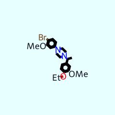 CCOc1ccc(C(C)N2CCN(c3ccc(Br)c(OC)c3)CC2)cc1OC